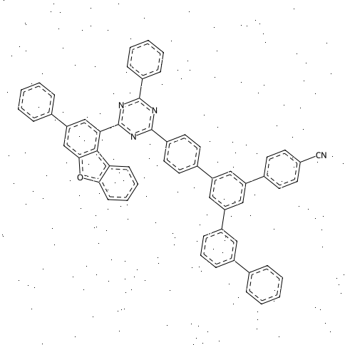 N#Cc1ccc(-c2cc(-c3ccc(-c4nc(-c5ccccc5)nc(-c5cc(-c6ccccc6)cc6oc7ccccc7c56)n4)cc3)cc(-c3cccc(-c4ccccc4)c3)c2)cc1